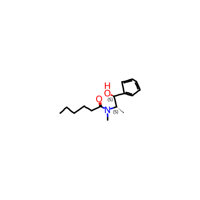 CCCCCC(=O)N(C)[C@@H](C)[C@@H](O)c1ccccc1